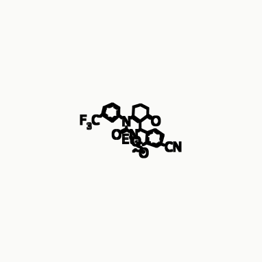 CCN1C(=O)N(c2cccc(C(F)(F)F)c2)C2=C(C(=O)CCC2)C1c1ccc(C#N)cc1S(C)(=O)=O